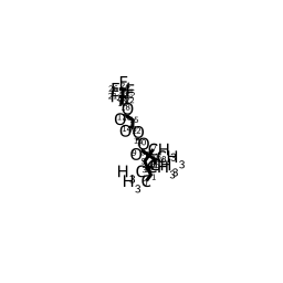 CCC(C)(C)CC(C)(C(=O)OCOC(=O)CC(=O)OCC(F)(F)C(F)(F)F)C(C)C